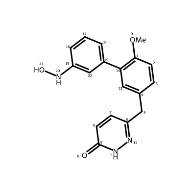 COc1ccc(Cc2ccc(=O)[nH]n2)cc1-c1cccc(NO)c1